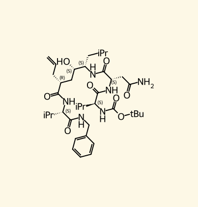 C=CC[C@H](C[C@H](O)[C@H](CC(C)C)NC(=O)[C@H](CC(N)=O)NC(=O)[C@@H](NC(=O)OC(C)(C)C)C(C)C)C(=O)N[C@H](C(=O)NCc1ccccc1)C(C)C